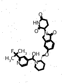 CC(C)(F)c1cc(C(O)N2CCCC[C@H]2COc2ccc3c(c2)CN(C2CCC(=O)NC2=O)C3=O)ccn1